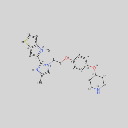 CCc1cn(CCOc2ccc(OC3CCNCC3)cc2)c(-c2cc3sccc3n2C)n1